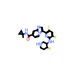 CC1(NC(=O)c2ccn3c(-c4nc(NC5CNCCC5F)c(F)cc4F)cnc3c2)CC1